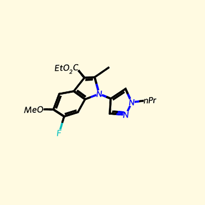 CCCn1cc(-n2c(C)c(C(=O)OCC)c3cc(OC)c(F)cc32)cn1